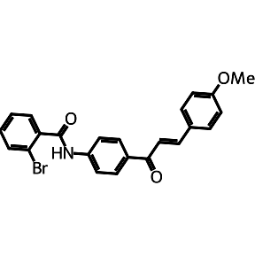 COc1ccc(C=CC(=O)c2ccc(NC(=O)c3ccccc3Br)cc2)cc1